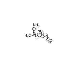 CCCN(OCc1ccc(N)cc1)C(=O)C1=Cc2ccc(C(=O)N3CCc4ncccc4C3)cc2N=C(N)C1